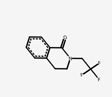 O=C1c2ccccc2CCN1CC(F)(F)F